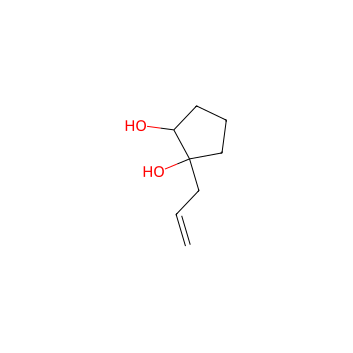 C=CCC1(O)CCCC1O